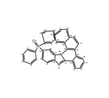 O=P(c1ccccc1)(c1ccccc1)c1ccc2nc3c4ccccc4c4ccc5ccccc5c4n3c2c1